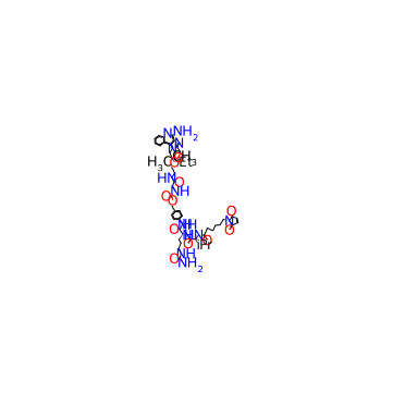 CCOCc1nc2c(N)nc3ccccc3c2n1CC(C)(C)OCCNC(=O)CNC(=O)OCc1ccc(NC(=O)[C@H](CCCNC(N)=O)NC(=O)[C@@H](NC(=O)CCCCCN2C(=O)C=CC2=O)C(C)C)cc1